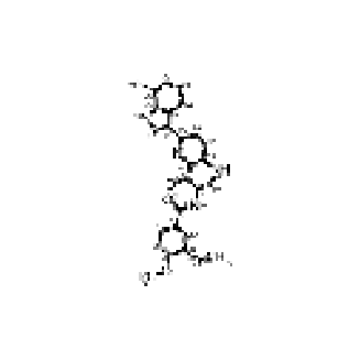 COc1ccc(C(=O)Nc2c[nH]c3ccc(-c4csc5c(F)cccc45)nc3c2=O)cc1OC